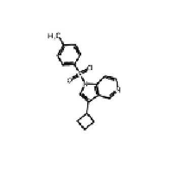 Cc1ccc(S(=O)(=O)n2cc(C3CCC3)c3cnccc32)cc1